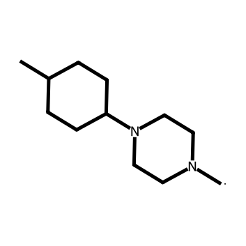 [CH2]N1CCN(C2CCC(C)CC2)CC1